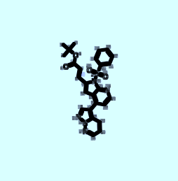 CC(C)(C)OC(=O)/C=C/c1cc2c(-c3cnn4ncccc34)ccnc2n1S(=O)(=O)c1ccccc1